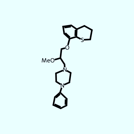 COC(COc1cccc2c1SCCC2)CN1CCN(c2ccccc2)CC1